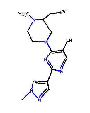 CC(C)CC1CN(c2nc(-c3cnn(C)c3)ncc2C#N)CCN1C(=O)O